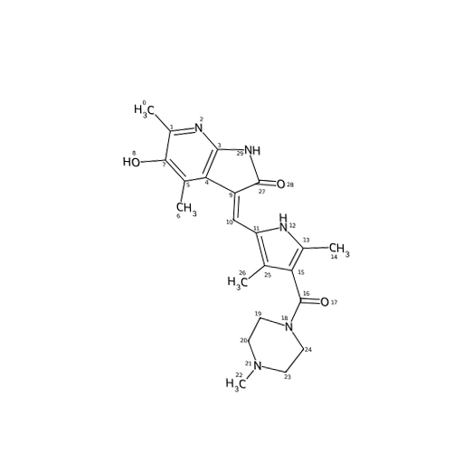 Cc1nc2c(c(C)c1O)/C(=C/c1[nH]c(C)c(C(=O)N3CCN(C)CC3)c1C)C(=O)N2